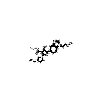 COCCn1cnc2cc(-c3sc(N4CC[C@H](CO)C4)c(C(=O)OC)c3N)ccc21